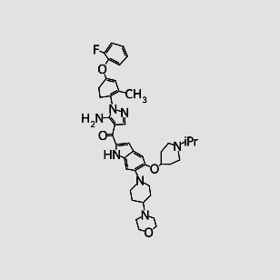 CC1=C(n2ncc(C(=O)c3cc4cc(OC5CCN(C(C)C)CC5)c(N5CCC(N6CCOCC6)CC5)cc4[nH]3)c2N)CCC(Oc2ccccc2F)=C1